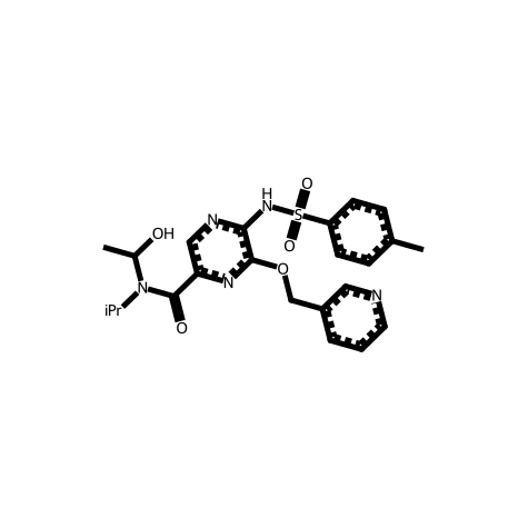 Cc1ccc(S(=O)(=O)Nc2ncc(C(=O)N(C(C)C)C(C)O)nc2OCc2cccnc2)cc1